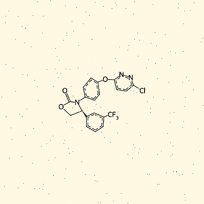 O=C1OC[C@H](c2cccc(C(F)(F)F)c2)N1c1ccc(Oc2ccc(Cl)nn2)cc1